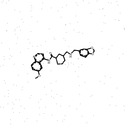 COc1ccc2nccc(NC(=O)C3CCCC(CNCc4ccc5c(c4)OCO5)C3)c2c1